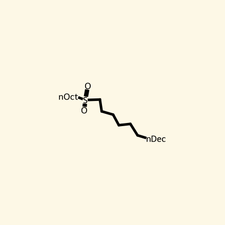 [CH2]CCCCCCCCCCCCCCCS(=O)(=O)CCCCCCCC